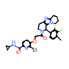 CCc1nc(C(=O)NC2CC2)ccc1OCC(=O)N1CCc2nc3n(c2C1c1ccc(C)c(F)c1F)CCCC3